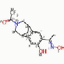 C/C(=N\O)c1cc2c(cc1O)C1CC2CN(C(=O)C(F)(F)F)C1